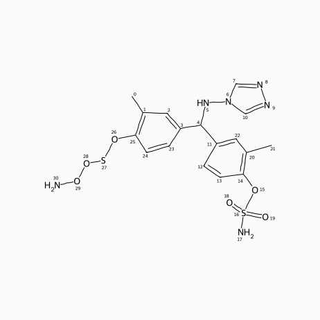 Cc1cc(C(Nn2cnnc2)c2ccc(OS(N)(=O)=O)c(C)c2)ccc1OSOON